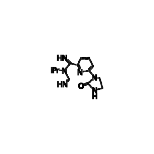 CC(C)N(C=N)C(=N)c1cccc(N2CCNC2=O)n1